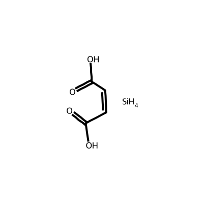 O=C(O)/C=C\C(=O)O.[SiH4]